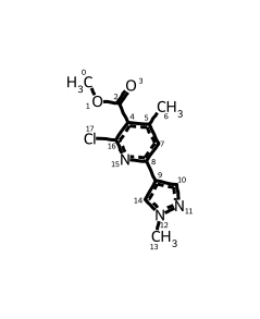 COC(=O)c1c(C)cc(-c2cnn(C)c2)nc1Cl